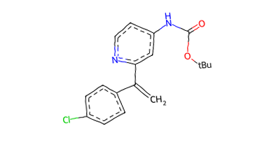 C=C(c1ccc(Cl)cc1)c1cc(NC(=O)OC(C)(C)C)ccn1